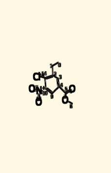 CCc1cc(C(=O)OC)cc([N+](=O)[O-])c1Cl